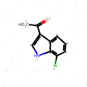 O=C(O)C(=O)c1c[nH]c2c(Br)cccc12